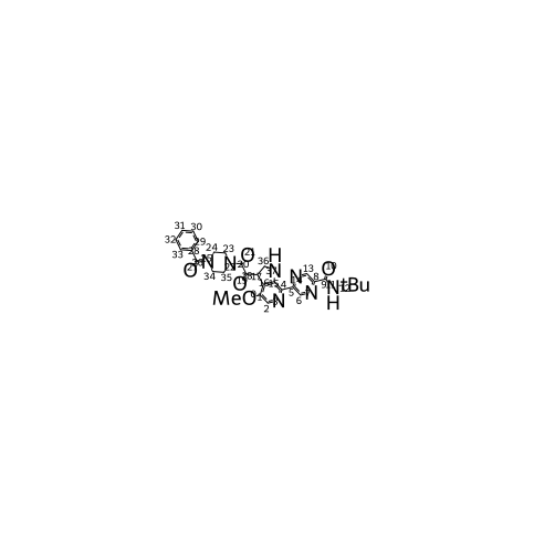 COc1cnc(-c2cnc(C(=O)NC(C)(C)C)cn2)c2c1C(C(=O)C(=O)N1CCN(C(=O)c3ccccc3)CC1)CN2